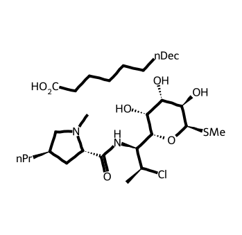 CCCCCCCCCCCCCCCC(=O)O.CCC[C@@H]1C[C@@H](C(=O)N[C@@H]([C@H]2O[C@H](SC)[C@H](O)[C@@H](O)[C@H]2O)[C@H](C)Cl)N(C)C1